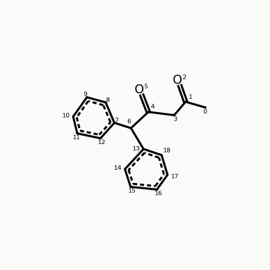 CC(=O)CC(=O)C(c1ccccc1)c1ccccc1